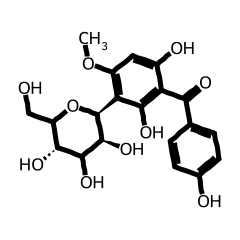 COc1cc(O)c(C(=O)c2ccc(O)cc2)c(O)c1[C@@H]1OC(CO)[C@@H](O)C(O)[C@@H]1O